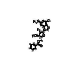 Nc1nc(Cl)c2ncn([C@@H]3O[C@H](COC(=O)c4ccccc4)[C@@H](O)[C@H]3F)c2n1